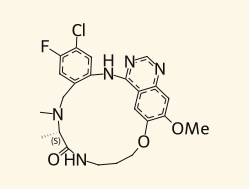 COc1cc2ncnc3c2cc1OCCCNC(=O)[C@H](C)N(C)Cc1cc(F)c(Cl)cc1N3